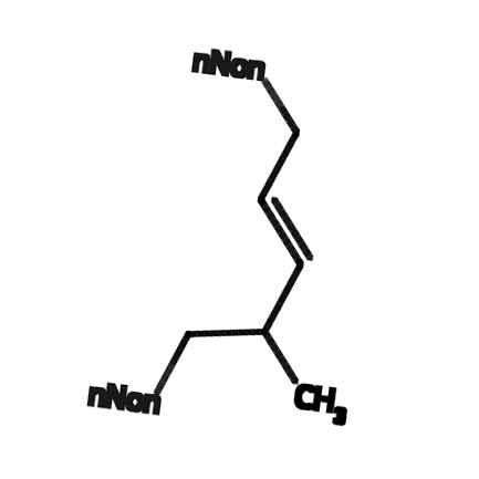 CCCCCCCCCCC=CC(C)CCCCCCCCCC